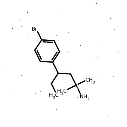 CCC(CC(C)(C)N)c1ccc(Br)cc1